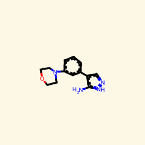 Nc1[nH]ncc1-c1cccc(N2CCOCC2)c1